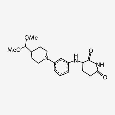 COC(OC)C1CCN(c2cccc(NC3CCC(=O)NC3=O)c2)CC1